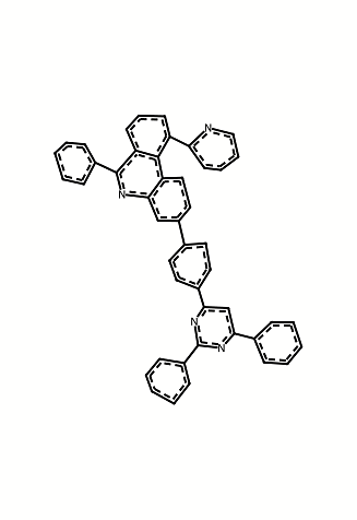 c1ccc(-c2cc(-c3ccc(-c4ccc5c(c4)nc(-c4ccccc4)c4cccc(-c6ccccn6)c45)cc3)nc(-c3ccccc3)n2)cc1